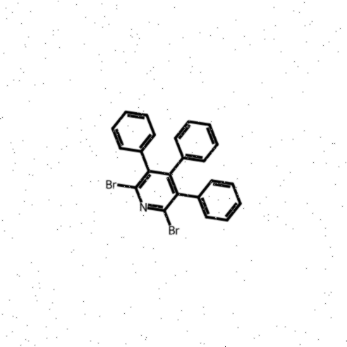 Brc1nc(Br)c(-c2ccccc2)c(-c2ccccc2)c1-c1ccccc1